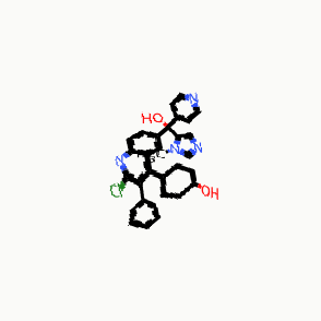 Cn1cncc1C(O)(c1ccncc1)c1ccc2nc(Cl)c(-c3ccccc3)c(C3CCC(O)CC3)c2c1